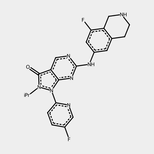 CC(C)n1c(=O)c2cnc(Nc3cc(F)c4c(c3)CCNC4)nc2n1-c1ccc(F)cn1